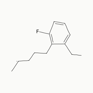 C[CH]CCCc1c(F)cccc1CC